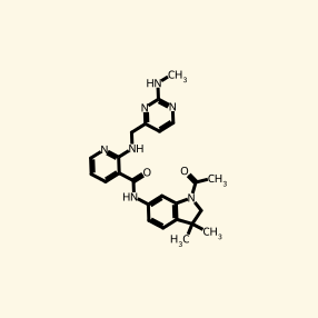 CNc1nccc(CNc2ncccc2C(=O)Nc2ccc3c(c2)N(C(C)=O)CC3(C)C)n1